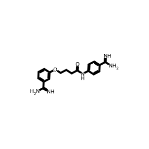 N=C(N)c1ccc(NC(=O)CCCOc2cccc(C(=N)N)c2)cc1